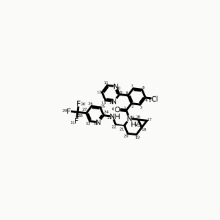 O=C(c1cc(Cl)ccc1-c1ncccn1)N1C2C[C@H]2CC[C@H]1CNc1ccc(C(F)(F)F)cn1